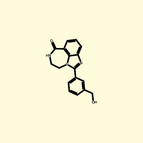 O=C1NCCn2c(-c3cccc(CO)c3)nc3cccc1c32